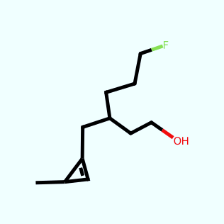 CC1C=C1CC(CCO)CCCF